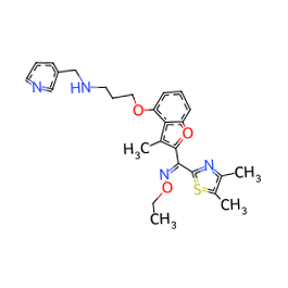 CCON=C(c1nc(C)c(C)s1)c1oc2cccc(OCCCNCc3cccnc3)c2c1C